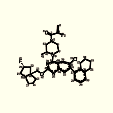 C=C(F)C(=O)N1CCN(c2nc(OC[C@@]34CCCN3C[C@H](F)C4)nc3cc(-c4cccc5c4CCCC5)c(Cl)cc23)[C@@H](C)C1